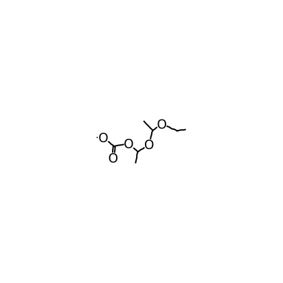 CCOC(C)OC(C)OC([O])=O